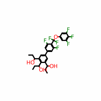 CCC(O)c1cc(-c2cc(F)c(C(F)(F)Oc3cc(F)c(F)c(F)c3)c(F)c2)cc(C(O)CC)c1C(O)CC